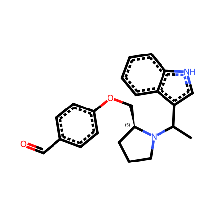 CC(c1c[nH]c2ccccc12)N1CCC[C@H]1COc1ccc(C=O)cc1